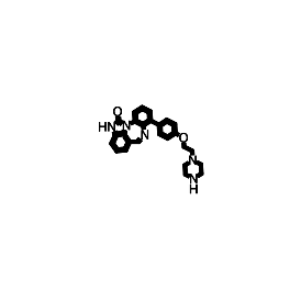 O=c1[nH]c2cccc3c2n1-c1cccc(-c2ccc(OCCN4CCNCC4)cc2)c1N=C3